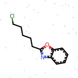 ClCCCCCc1nc2ccccc2o1